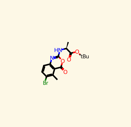 Cc1c(Br)ccc2nc(N[C@@H](C)C(=O)OC(C)(C)C)oc(=O)c12